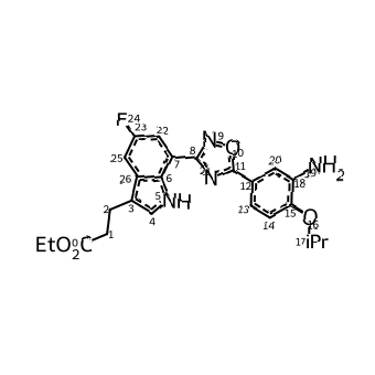 CCOC(=O)CCc1c[nH]c2c(-c3noc(-c4ccc(OC(C)C)c(N)c4)n3)cc(F)cc12